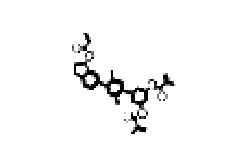 C=CC(=O)OC1CCc2ccc(-c3cc(C)c(-c4cc(OC(=O)C(=C)C)cc(OC(=O)C(=C)C)c4)cc3C)cc21